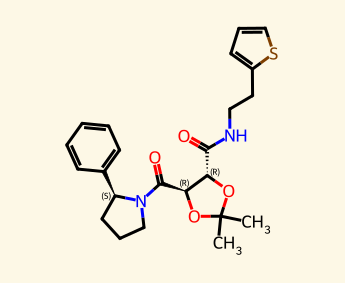 CC1(C)O[C@@H](C(=O)NCCc2cccs2)[C@H](C(=O)N2CCC[C@H]2c2ccccc2)O1